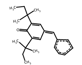 CCC(C)(C)C1=CC(=Cc2ccccc2)C=C(C(C)(C)CC)C1=O